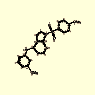 COc1ccc(S(=O)(=O)n2ccc3c(Nc4cccc(OC)c4)ccnc32)cc1